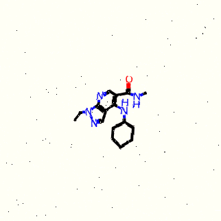 CCn1ncc2c(NC3CCCCC3)c(C(=O)NC)cnc21